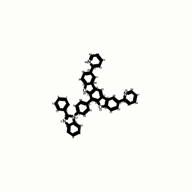 c1ccc(-c2nc3ccccc3n2-c2ccc(-c3c4oc5ccc(-c6ccccn6)cc5c4cc4c3oc3ccc(-c5ccccn5)cc34)cc2)cc1